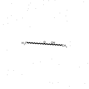 CCCCCCCCCCCCCCCC(=O)CCCCCC(O)CCCCCCCCC